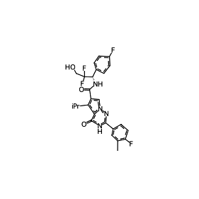 Cc1cc(-c2nn3cc(C(=O)N[C@@H](c4ccc(F)cc4)C(F)(F)CO)c(C(C)C)c3c(=O)[nH]2)ccc1F